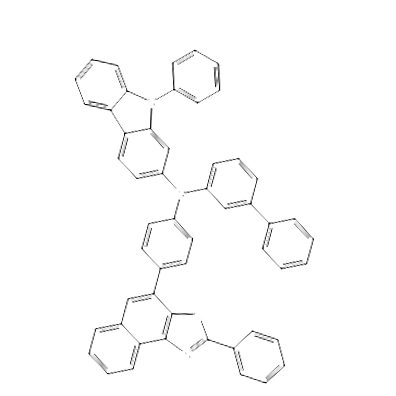 c1ccc(-c2cccc(N(c3ccc(-c4cc5ccccc5c5nc(-c6ccccc6)oc45)cc3)c3ccc4c5ccccc5n(-c5ccccc5)c4c3)c2)cc1